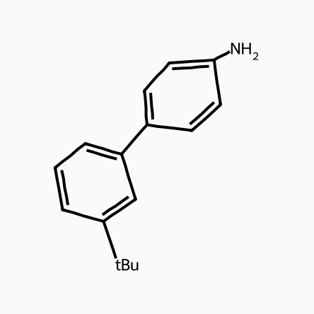 CC(C)(C)c1cccc(-c2ccc(N)cc2)c1